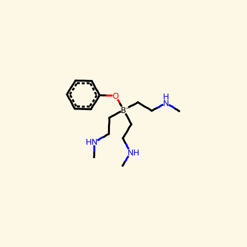 CNCC[B-](CCNC)(CCNC)Oc1ccccc1